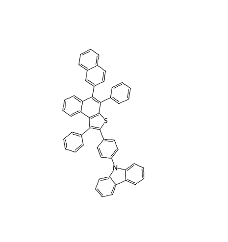 c1ccc(-c2c(-c3ccc4ccccc4c3)c3ccccc3c3c(-c4ccccc4)c(-c4ccc(-n5c6ccccc6c6ccccc65)cc4)sc23)cc1